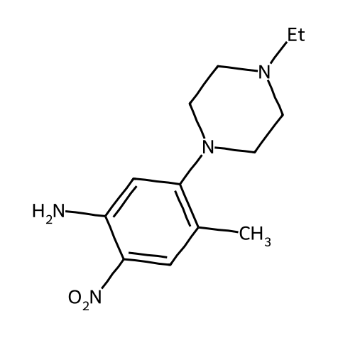 CCN1CCN(c2cc(N)c([N+](=O)[O-])cc2C)CC1